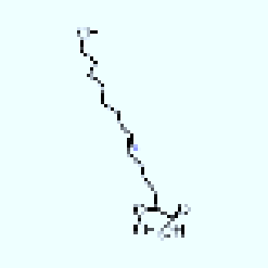 CCCCCCCC/C=C/CCCC(OC)C(=O)O